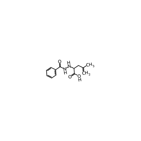 C=C(C)CC(NNC(=O)c1ccccc1)C(=O)O